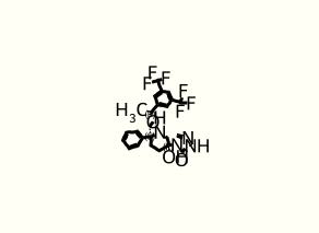 C[C@@H](OC[C@@]1(c2ccccc2)CC[C@](O)(n2cn[nH]c2=O)CN1)c1cc(C(F)(F)F)cc(C(F)(F)F)c1